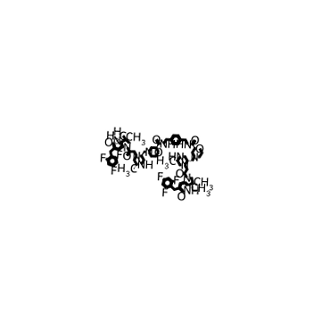 C[C@@H]1CN(CC(=O)N2CC(C)(C)c3[nH]c(=O)c(Cc4c(F)cc(F)cc4F)cc32)[C@@H](CN2CCO[C@H](C(=O)NCc3ccc(CNC(=O)[C@@H]4CN(C[C@H]5CN[C@H](C)CN5CC(=O)N5CC(C)(C)c6[nH]c(=O)c(Cc7c(F)cc(F)cc7F)cc65)CCO4)cc3)C2)CN1